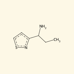 CCC(N)c1ccsn1